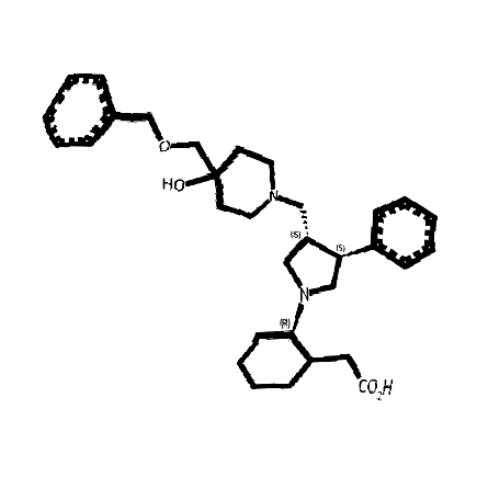 O=C(O)CC1CCCC[C@H]1N1C[C@H](CN2CCC(O)(COCc3ccccc3)CC2)[C@@H](c2ccccc2)C1